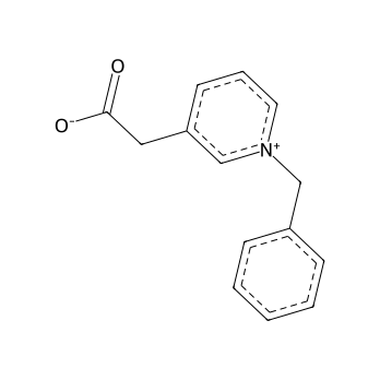 O=C([O-])Cc1ccc[n+](Cc2ccccc2)c1